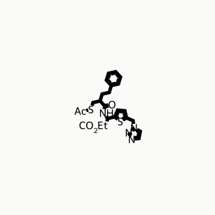 CCOC(=O)C(NC(=O)C(CCc1ccccc1)CSC(C)=O)c1ccc(Cn2ccnn2)s1